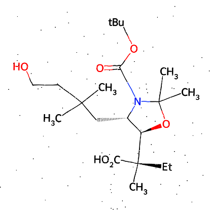 CC[C@@](C)(C(=O)O)[C@@H]1OC(C)(C)N(C(=O)OC(C)(C)C)[C@H]1CC(C)(C)CCO